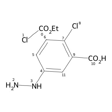 CCOC(=O)Cl.NNc1ccc(Cl)c(C(=O)O)c1